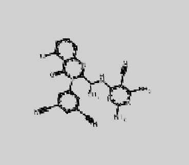 C[C@H](Nc1nc(N)nc(N)c1C#N)c1nc2cccc(Cl)c2c(=O)n1-c1cc(C#N)cc(C#N)c1